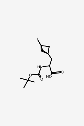 CC(C)(C)OC(=O)NC(CC12CC(I)(C1)C2)C(=O)O